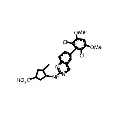 COc1cc(OC)c(Cl)c(-c2ccc3nc(NC4CC(C(=O)O)CC4C)ncc3c2)c1Cl